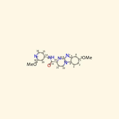 COc1ccc2c(c1)nc1nc(C(=O)Nc3ccnc(OC)c3)ccn12